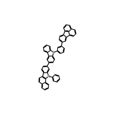 c1ccc(-n2c3cc(-c4ccc5c(c4)c4ccccc4n5-c4cccc(-c5ccc6c(c5)-c5cccc7cccc-6c57)c4)ccc3c3ccc4ccccc4c32)cc1